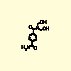 NC(=O)c1ccc(C(=O)N(CO)CO)cc1